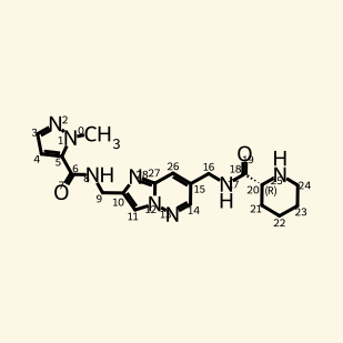 Cn1nccc1C(=O)NCc1cn2ncc(CNC(=O)[C@H]3CCCCN3)cc2n1